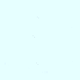 CCOC(=O)c1c(C)cn(C)c1C(Nc1cc(C)c(=O)n(C)c1)c1ccc(Cl)cc1